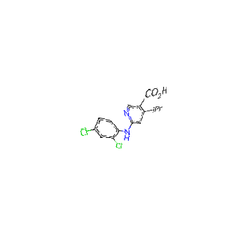 CC(C)c1cc(Nc2ccc(Cl)cc2Cl)ncc1C(=O)O